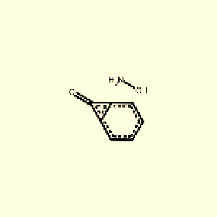 NO.O=c1c2ccccc12